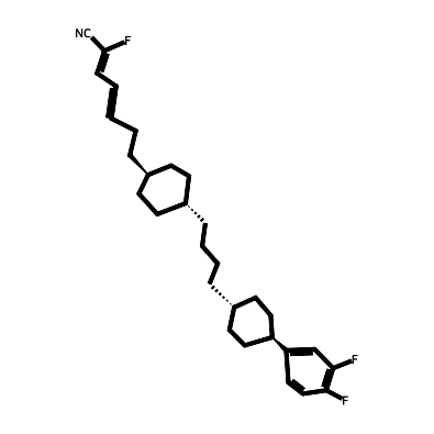 N#CC(F)=CC=CCC[C@H]1CC[C@H](CCCC[C@H]2CC[C@H](c3ccc(F)c(F)c3)CC2)CC1